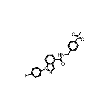 CS(=O)(=O)c1ccc(CNC(=O)c2cccc3c2cnn3-c2ccc(F)cc2)cc1